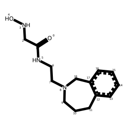 O=C(CNO)NCCN1CCCc2ccccc2C1